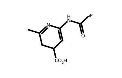 CC1=NC(NC(=O)C(C)C)=CC(C(=O)O)C1